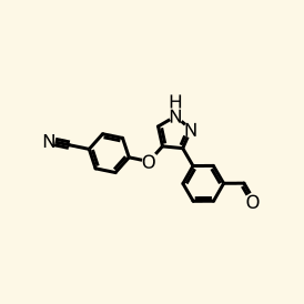 N#Cc1ccc(Oc2c[nH]nc2-c2cccc(C=O)c2)cc1